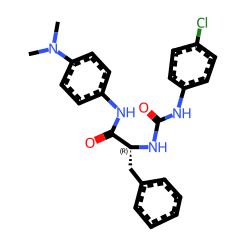 CN(C)c1ccc(NC(=O)[C@@H](Cc2ccccc2)NC(=O)Nc2ccc(Cl)cc2)cc1